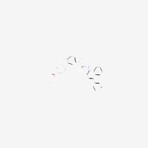 CC(C)(C)OC(=O)N1CCN(c2cc3c(cc2Cl)CCN3C(=O)Nc2ccc(-c3ccncc3)c3ccccc23)CC1